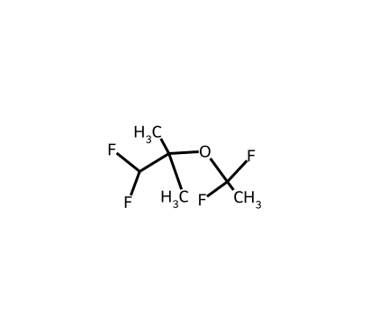 CC(F)(F)OC(C)(C)C(F)F